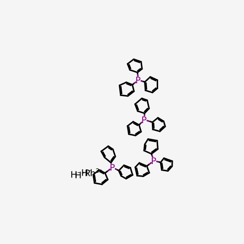 [H-].[H-].[H-].[Rh+3].c1ccc(P(c2ccccc2)c2ccccc2)cc1.c1ccc(P(c2ccccc2)c2ccccc2)cc1.c1ccc(P(c2ccccc2)c2ccccc2)cc1.c1ccc(P(c2ccccc2)c2ccccc2)cc1